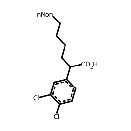 CCCCCCCCCCCCCC(C(=O)O)c1ccc(Cl)c(Cl)c1